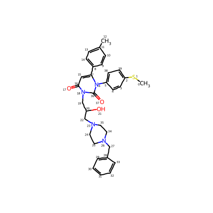 CSc1ccc(-n2c(-c3ccc(C)cc3)cc(=O)n(CC(O)CN3CCN(Cc4ccccc4)CC3)c2=O)cc1